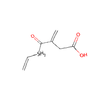 C=C[SiH2]C(=O)C(=C)CC(=O)O